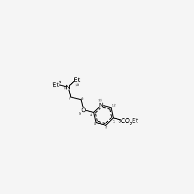 CCOC(=O)c1ccc(OCCN(CC)CC)nc1